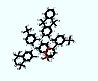 Cc1cc2c(cc1N1c3ccc(C(C)(C)C)cc3B3c4cc5c(cc4N(c4ccc(C(C)(C)C)cc4-c4ccccc4)c4cc(C(C)(C)C)cc1c43)C(C)(C)c1ccccc1C5(C)C)C(C)(C)CCC2(C)C